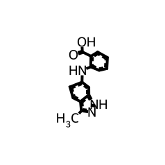 Cc1n[nH]c2cc(Nc3ccccc3C(=O)O)ccc12